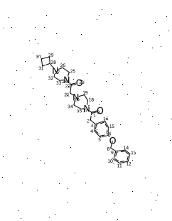 O=C(Cc1ccc(OCc2ccccc2)cc1)N1CCN(CC(=O)N2CCN(C3CCC3)CC2)CC1